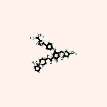 CC(C)c1nnc(-c2ccc(Oc3cc(C(=O)NC4CCN(C5(C)CCCC5)CC4)c(F)cc3CN3C[C@@H](C)CC3=O)cc2)s1